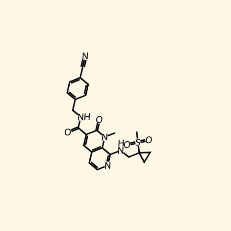 Cn1c(=O)c(C(=O)NCc2ccc(C#N)cc2)cc2ccnc(NCC3(S(C)(=O)=O)CC3)c21